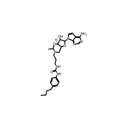 CCCCc1ccc(NC(=O)NCCCN2CC3OC(n4ccc5c(N)ncnc54)[C@H](O)[C@@H]3OC2C)cc1